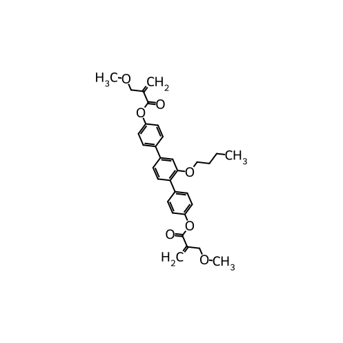 C=C(COC)C(=O)Oc1ccc(-c2ccc(-c3ccc(OC(=O)C(=C)COC)cc3)c(OCCCC)c2)cc1